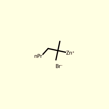 CCCC[C](C)(C)[Zn+].[Br-]